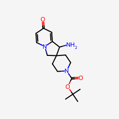 CC(C)(C)OC(=O)N1CCC2(CC1)Cn1ccc(=O)cc1C2N